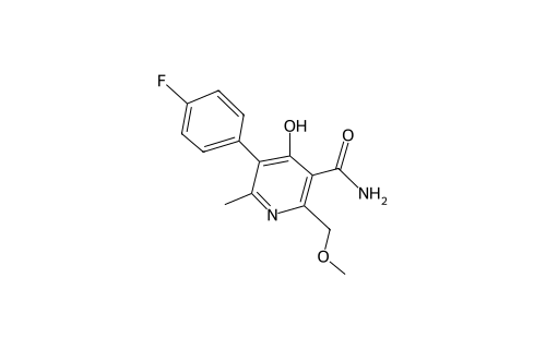 COCc1nc(C)c(-c2ccc(F)cc2)c(O)c1C(N)=O